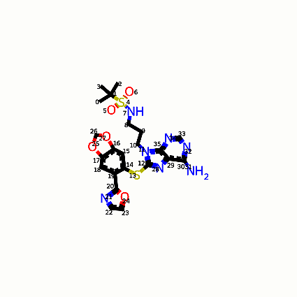 CC(C)(C)S(=O)(=O)NCCCn1c(Sc2cc3c(cc2-c2ncco2)OCO3)nc2c(N)ncnc21